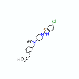 CC(C)N(Cc1cccc(CC(=O)O)c1)C1CCN(c2nc3ccc(Cl)cc3s2)CC1